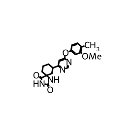 COc1cc(Oc2cc(C3CCCC4(C3)NC(=O)NC4=O)ncn2)ccc1C